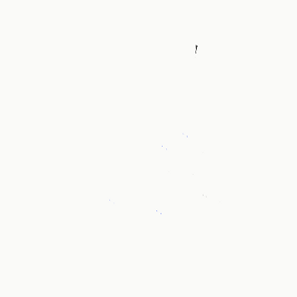 C[C@H]1CC[C@H](n2cc([N+](=O)[O-])c(-c3cnccn3)n2)CC1